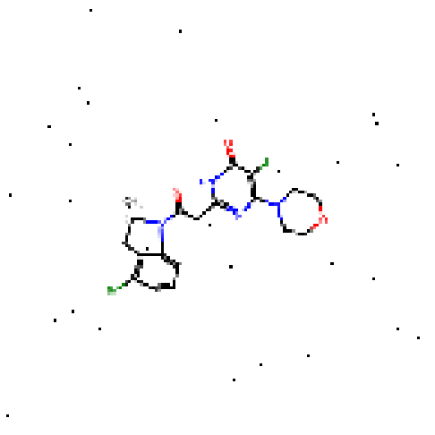 C[C@H]1Cc2c(Br)cccc2N1C(=O)Cc1nc(N2CCOCC2)c(F)c(=O)[nH]1